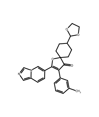 Cc1cccc(C2=C(c3ccc4cncn4c3)OC3(CCC(C4OCCO4)CC3)C2=O)c1